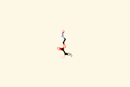 BC(=C)C(=O)OCCN=C=O